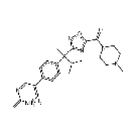 C=C(N)/N=C\C(=C/N)c1ccc(C(C)(c2noc(C(=O)N3CCN(C)CC3)n2)C(C)C)cc1